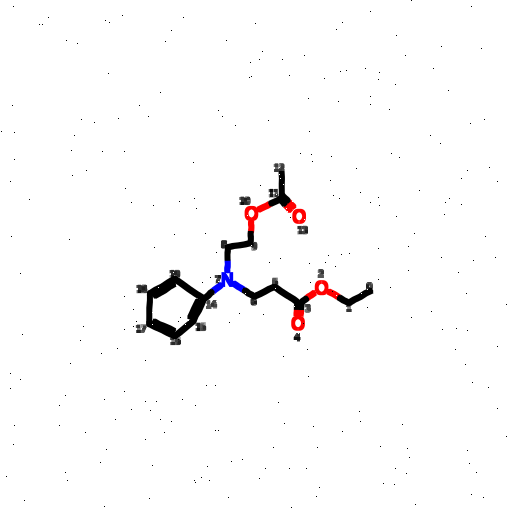 CCOC(=O)CCN(CCOC(C)=O)c1ccccc1